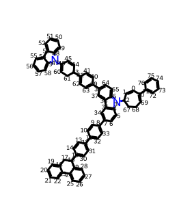 C1=CC(n2c3ccc(-c4ccc(-c5ccc(C6Cc7ccccc7-c7ccccc76)cc5)cc4)cc3c3cc(-c4ccc(C5C=CC(n6c7ccccc7c7ccccc76)=CC5)cc4)ccc32)CCC=C1c1ccccc1